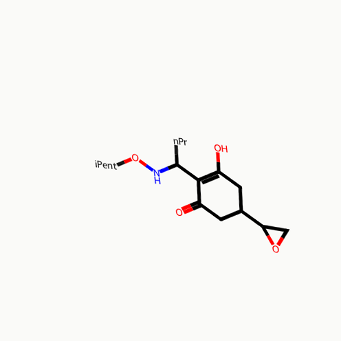 CCCC(C)ONC(CCC)C1=C(O)CC(C2CO2)CC1=O